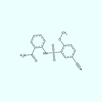 COc1ccc(C#N)cc1S(=O)(=O)Nc1ccccc1C(N)=O